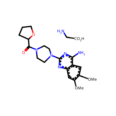 COc1cc2nc(N3CCN(C(=O)C4CCCO4)CC3)nc(N)c2cc1OC.NCC(=O)O